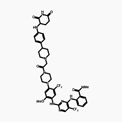 CNC(=O)c1ccccc1Nc1nc(Nc2cc(C(F)(F)F)c(N3CCN(C(=O)CN4CCC(c5ccc(NC6CCC(=O)NC6=O)cc5)CC4)CC3)cc2OC)ncc1C(F)(F)F